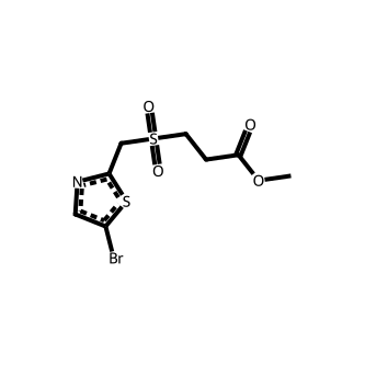 COC(=O)CCS(=O)(=O)Cc1ncc(Br)s1